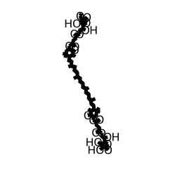 COC1=C(O)C(C(O)COC(=O)CCC(=O)OC2CC(C)(C)C(/C=C/C(C)=C/C=C/C(C)=C/C=C/C=C(C)/C=C/C=C(C)/C=C/C3=C(C)C(=O)C(OC(=O)CCC(=O)OCC(O)C4OC(=O)C(O)=C4O)CC3(C)C)=C(C)C2=O)OC1=O